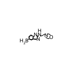 Bc1ccc2nc(NCCN3CCOCC3)ncc2c1